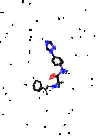 CC(NCC(C)c1ccccc1)C(=O)Nc1ccc(-n2cncn2)cc1